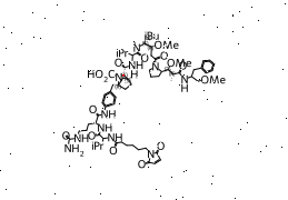 CC[C@H](C)[C@@H]([C@@H](CC(=O)N1CCCC1[C@H](OC)[C@@H](C)C(=O)NC(COC)Cc1ccccc1)OC)N(C)C(=O)C(NC(=O)[C@@H]1[C@H]2CC[C@](Cc3ccc(NC(=O)C(CCCNC(N)=O)NC(=O)C(NC(=O)CCCCCN4C(=O)C=CC4=O)C(C)C)cc3)(C2)N1C(=O)O)C(C)C